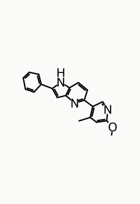 COc1cc(C)c(-c2ccc3[nH]c(-c4ccccc4)cc3n2)cn1